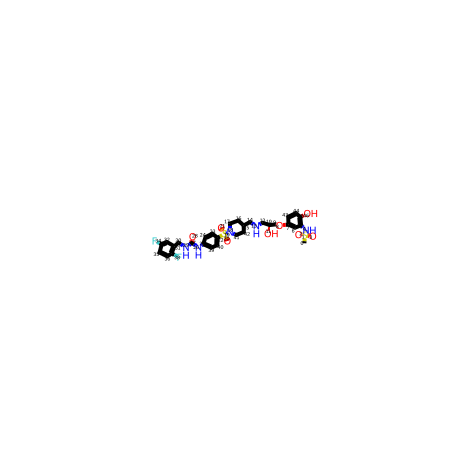 CS(=O)(=O)Nc1cc(OC[C@@H](O)CNCC2CCN(S(=O)(=O)c3ccc(NC(=O)NCc4cc(F)ccc4F)cc3)CC2)ccc1O